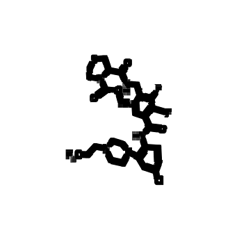 CCCCOC(=O)N1CCSCC1C(=O)NCc1ccc(C(=O)Nc2ccc(Cl)cc2N2CCN(CCC(F)(F)F)CC2)c(F)c1F